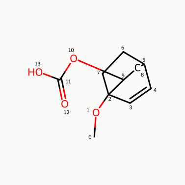 COC12C=CC(CC1)CC2OC(=O)O